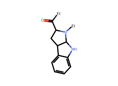 CCC(=O)C1CC2c3ccccc3NC2N1CC